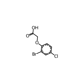 O=C(O)COc1ccc(Cl)cc1Br